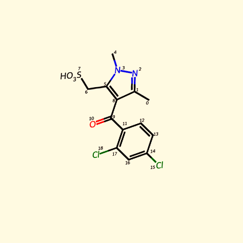 Cc1nn(C)c(CS(=O)(=O)O)c1C(=O)c1ccc(Cl)cc1Cl